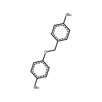 CC(C)(C)c1ccc(COc2ccc(C(C)(C)C)cc2)cc1